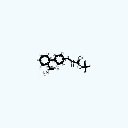 CC(C)(C)OC(=O)NCc1ccc(-c2ccccc2C(N)=S)cc1